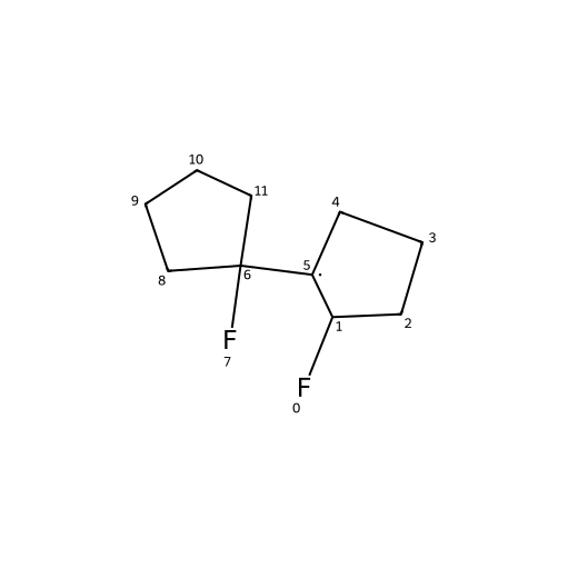 FC1CCC[C]1C1(F)CCCC1